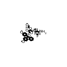 COCCO[C@@H]1[C@H](O)[C@@H](COC(c2ccccc2)(c2ccc(OC)cc2)c2ccc(OC)cc2)O[C@H]1n1cnc2c(N)nc(F)nc21